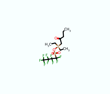 CCCC(=O)CS(CC)(CC)OS(=O)(=O)C(F)(F)C(F)(F)C(F)(F)C(F)(F)F